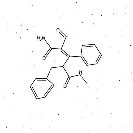 CNC(=O)C(Cc1ccccc1)C(=C([C]=O)C(N)=O)c1ccccc1